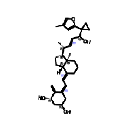 C=C1/C(=C\C=C2/CCC[C@]3(C)[C@@H]([C@H](C)/C=C/[C@H](O)C4(c5cc(C)co5)CC4)CC[C@@H]23)C[C@@H](O)C[C@@H]1O